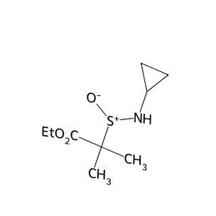 CCOC(=O)C(C)(C)[S+]([O-])NC1CC1